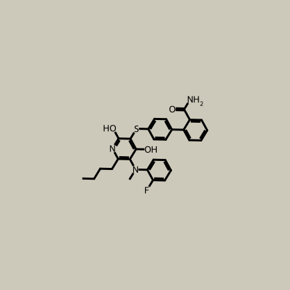 CCCCc1nc(O)c(Sc2ccc(-c3ccccc3C(N)=O)cc2)c(O)c1N(C)c1ccccc1F